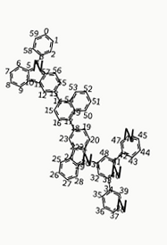 c1ccc(-n2c3ccccc3c3cc(-c4ccc(-c5ccc6c(c5)c5ccccc5n6-c5cc(-c6cccnc6)nc(-c6cccnc6)c5)c5ccccc45)ccc32)cc1